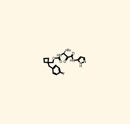 CCCC[C@H](NC(=O)OCC1(Cc2ccc(F)cc2)CCC1)C(=O)C(=O)Nc1ccn[nH]1